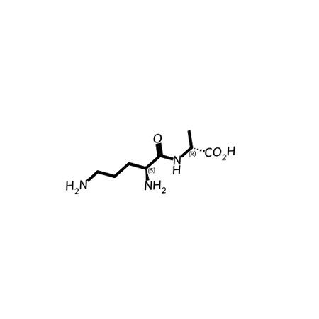 C[C@@H](NC(=O)[C@@H](N)CCCN)C(=O)O